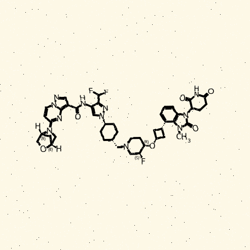 Cn1c(=O)n(C2CCC(=O)NC2=O)c2cccc([C@H]3C[C@H](O[C@@H]4CCN(C[C@H]5CC[C@H](n6cc(NC(=O)c7cnn8ccc(N9C[C@H]%10C[C@@H]9CO%10)nc78)c(C(F)F)n6)CC5)C[C@@H]4F)C3)c21